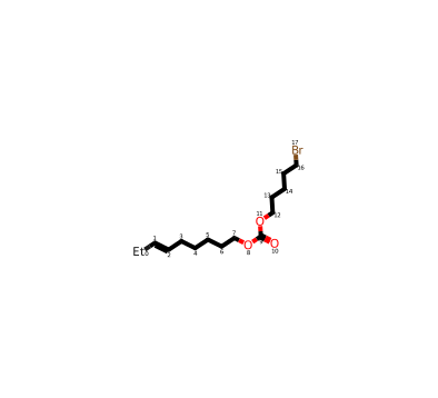 CCC=CCCCCCOC(=O)OCCCCCBr